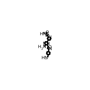 CNCc1ccc(-c2cc(-c3nc(-c4ccnc(C(C)(C)C(=O)NC)c4)cnc3N)on2)cc1